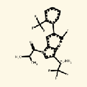 CC(C)C(=O)n1cc([C@H](N)C(F)(F)F)c2cc(F)c(-c3ccccc3C(F)(F)F)cc21